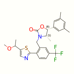 COC(C)c1cnc(-c2ccc(C(F)(F)F)cc2CN2C(=O)O[C@H](c3cc(C)cc(C)c3)[C@@H]2C)s1